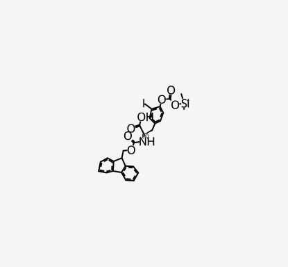 C[Si](C)(C)OC(=O)Oc1ccc(C[C@@H](NC(=O)OCC2c3ccccc3-c3ccccc32)C(=O)O)cc1I